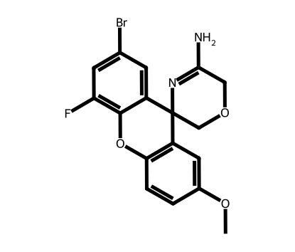 COc1ccc2c(c1)C1(COCC(N)=N1)c1cc(Br)cc(F)c1O2